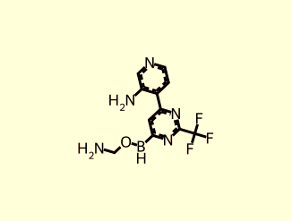 NCOBc1cc(-c2ccncc2N)nc(C(F)(F)F)n1